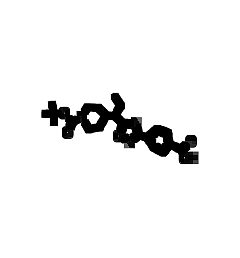 CCC(c1nc(-c2ccc(C(=O)O)cc2)no1)C1CCN(C(=O)OC(C)(C)C)CC1